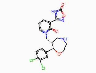 O=c1[nH]c(-c2cccn(C[C@@H]3CNCCO[C@H]3c3ccc(Cl)c(Cl)c3)c2=O)no1